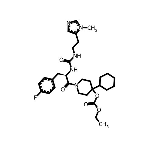 CCOC(=O)OC1(C2CCCCC2)CCN(C(=O)[C@@H](Cc2ccc(F)cc2)NC(=O)NCCc2cncn2C)CC1